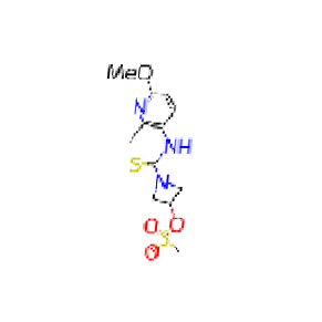 COc1ccc(NC(=S)N2CC(OS(C)(=O)=O)C2)c(C)n1